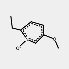 CCc1ccc(OC)c[n+]1[O-]